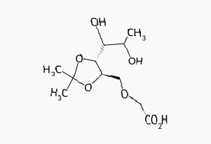 CC(O)C(O)[C@H]1OC(C)(C)O[C@@H]1COCC(=O)O